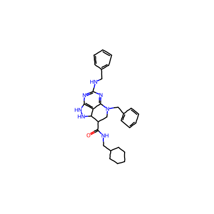 O=C(NCC1CCCCC1)C1CN(Cc2ccccc2)c2nc(NCc3ccccc3)nc3c2C1NN3